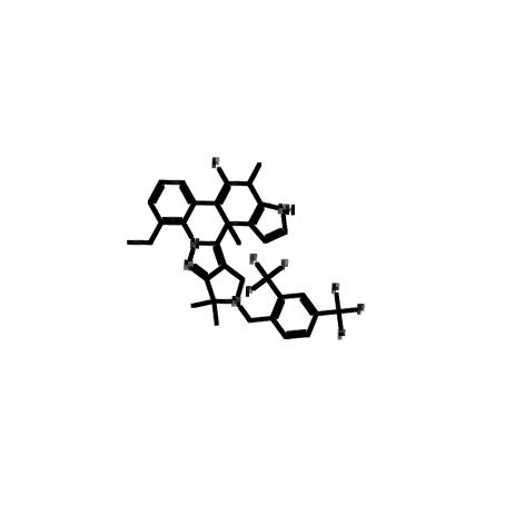 CCc1cccc2c1-n1nc3c(c1C1(C)C2=C(F)C(C)c2[nH]ccc21)CN(Cc1ccc(C(F)(F)F)cc1C(F)(F)F)C3(C)C